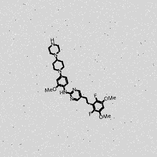 COc1cc(N2CCC(N3CCNCC3)CC2)ccc1Nc1ncc(CCc2c(F)c(OC)cc(OC)c2F)cn1